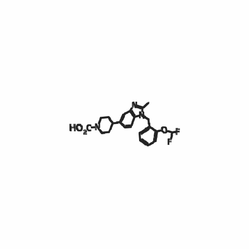 Cc1nc2cc(C3CCN(C(=O)O)CC3)ccc2n1Cc1ccccc1OC(F)F